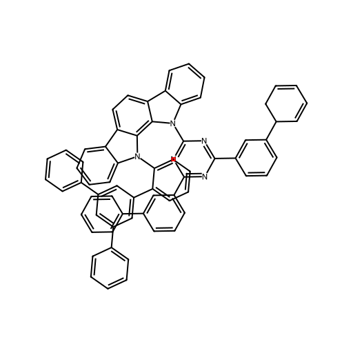 C1=CCC(c2cccc(-c3nc(-c4cccc(-c5ccccc5)c4)nc(-n4c5ccccc5c5ccc6c7ccccc7n(-c7ccccc7-c7cc(-c8ccccc8)cc(-c8ccccc8)c7)c6c54)n3)c2)C=C1